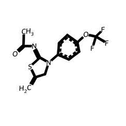 C=C1CN(c2ccc(OC(F)(F)F)cc2)C(=NC(C)=O)S1